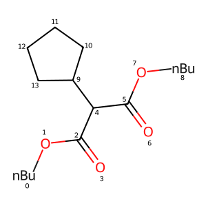 CCCCOC(=O)C(C(=O)OCCCC)C1CCCC1